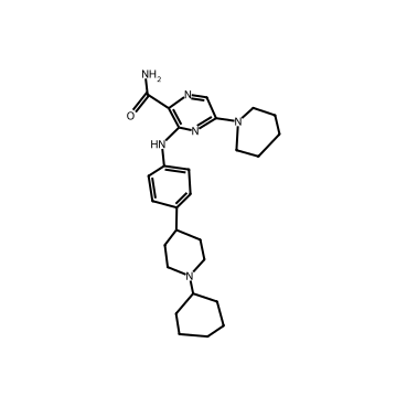 NC(=O)c1ncc(N2CCCCC2)nc1Nc1ccc(C2CCN(C3CCCCC3)CC2)cc1